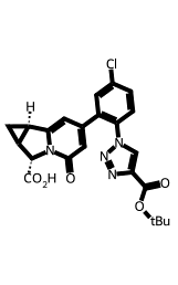 CC(C)(C)OC(=O)c1cn(-c2ccc(Cl)cc2-c2cc3n(c(=O)c2)[C@H](C(=O)O)C2C[C@@H]32)nn1